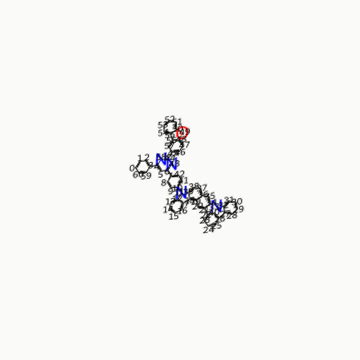 c1ccc(-c2cc(-c3ccc(-n4c5ccccc5c5c6cc7c8cccc9c%10ccccc%10n(c7cc6ccc54)c98)cc3)nc(-c3ccc4oc5ccccc5c4c3)n2)cc1